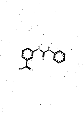 O=C(O)c1cccc(NC(=S)Nc2ccccc2)c1